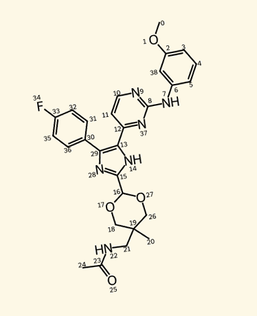 COc1cccc(Nc2nccc(-c3[nH]c(C4OCC(C)(CNC(C)=O)CO4)nc3-c3ccc(F)cc3)n2)c1